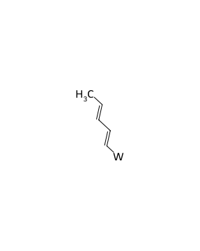 CC=CC=[CH][W]